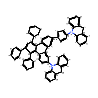 C1=CCCC(c2cc(-c3ccccc3)c(-c3ccccc3)c3c4ccc(N5c6ccccc6Cc6ccccc65)cc4c4cc(-c5ccc(N6c7ccccc7Cc7ccccc76)cc5)ccc4c23)=C1